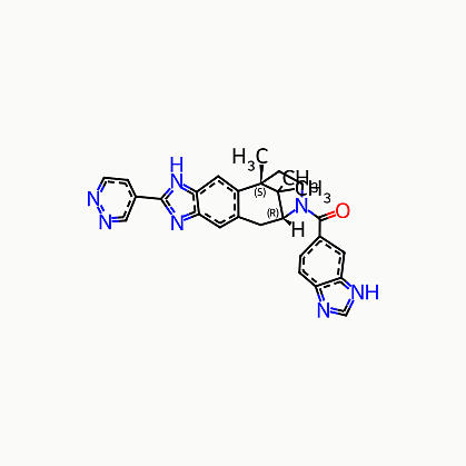 CC1(C)[C@H]2Cc3cc4nc(-c5ccnnc5)[nH]c4cc3[C@]1(C)CCN2C(=O)c1ccc2nc[nH]c2c1